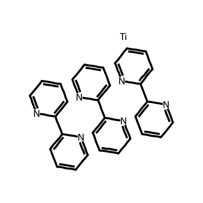 [Ti].c1ccc(-c2ccccn2)nc1.c1ccc(-c2ccccn2)nc1.c1ccc(-c2ccccn2)nc1